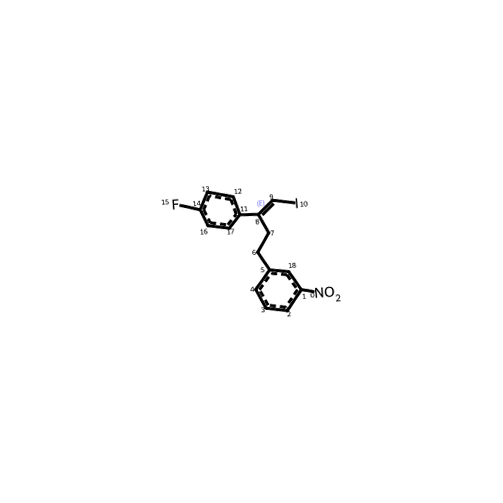 O=[N+]([O-])c1cccc(CC/C(=C\I)c2ccc(F)cc2)c1